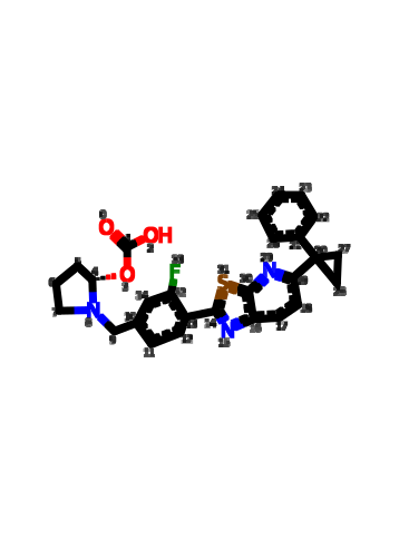 O=C(O)O[C@H]1CCCN1Cc1ccc(-c2nc3ccc(C4(c5ccccc5)CC4)nc3s2)c(F)c1